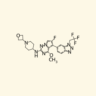 COc1nc(NC2CCN(C3COC3)CC2)nn2cc(F)c(-c3ccc4nnn(CC(F)(F)F)c4c3)c12